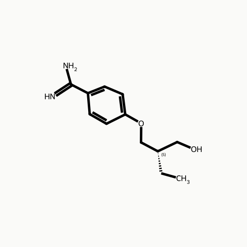 CC[C@@H](CO)COc1ccc(C(=N)N)cc1